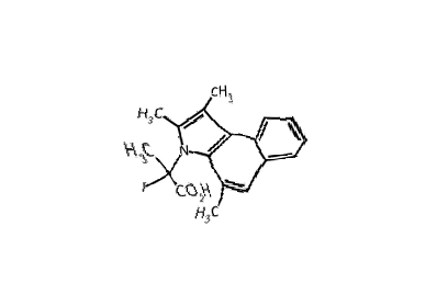 Cc1c(C)n(C(C)(I)C(=O)O)c2c(C)cc3ccccc3c12